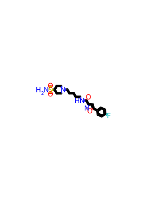 NS(=O)(=O)C1CCN(CCCCCNC(=O)c2cc(-c3ccc(F)cc3)on2)CC1